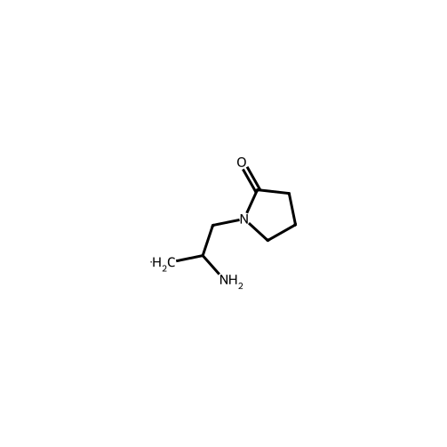 [CH2]C(N)CN1CCCC1=O